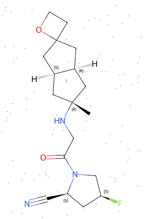 C[C@@]1(NCC(=O)N2C[C@@H](F)C[C@H]2C#N)C[C@H]2CC3(CCO3)C[C@H]2C1